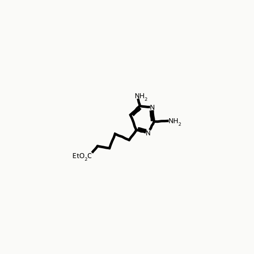 CCOC(=O)CCCCc1cc(N)nc(N)n1